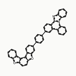 c1ccc2c(c1)nc1c3ccc(-c4ccc(-c5ccc6c(c5)oc5ccc7oc8ccccc8c7c56)cc4)cc3c3ccccc3n21